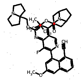 C#Cc1cccc2cc(OC)cc(-c3ncc4c(N5CC6CCC(C5)N6C(=O)OC(C)(C)C)nc(OCC56CCCN5CCC6)nc4c3F)c12